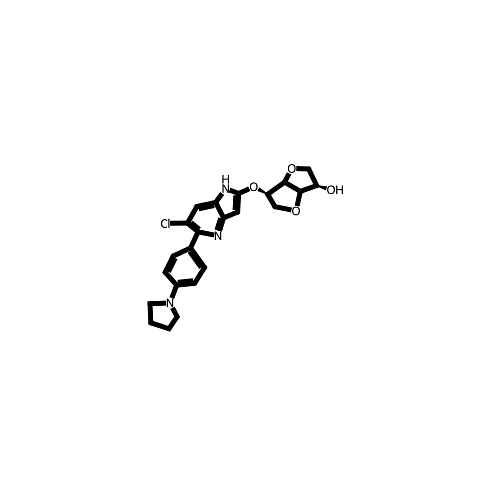 O[C@@H]1COC2C1OC[C@H]2Oc1cc2nc(-c3ccc(N4CCCC4)cc3)c(Cl)cc2[nH]1